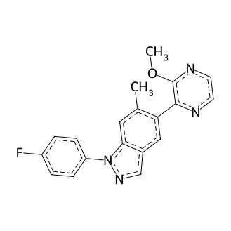 COc1nccnc1-c1cc2cnn(-c3ccc(F)cc3)c2cc1C